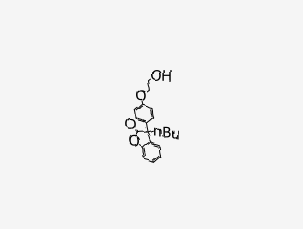 CCCCC1(c2ccc(OCCO)cc2)C(=O)Oc2ccccc21